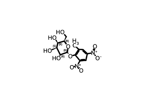 Cc1cc([N+](=O)[O-])cc([N+](=O)[O-])c1O[C@H]1O[C@H](CO)[C@H](O)[C@H](O)[C@H]1O